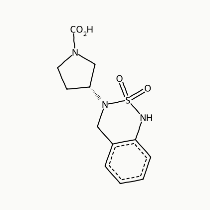 O=C(O)N1CC[C@@H](N2Cc3ccccc3NS2(=O)=O)C1